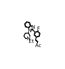 CCN1CCCC(n2c(-c3cc(/C=C/C(C)=O)ccc3F)nc3ccccc32)C1